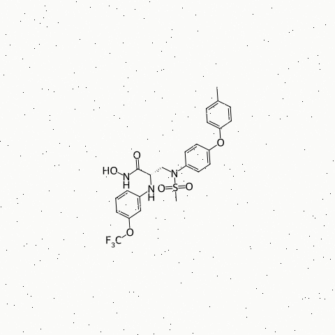 Cc1ccc(Oc2ccc(N(C[C@H](Nc3cccc(OC(F)(F)F)c3)C(=O)NO)S(C)(=O)=O)cc2)cc1